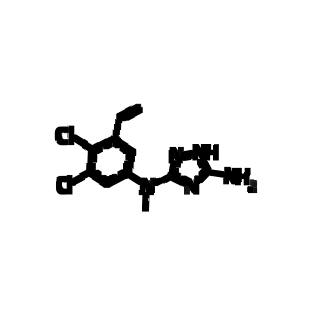 C=Cc1cc(N(C)c2n[nH]c(N)n2)cc(Cl)c1Cl